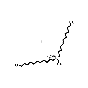 CCCCCCCCCCCC[N+](CC)(CC)CCCCCCCCCCCC.[I-]